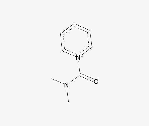 CN(C)C(=O)[n+]1ccccc1